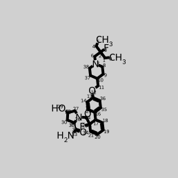 CCC(F)(CC)CN1CCC(COc2ccc(C3C=CC=CC3(F)C(=O)N3C[C@H](O)C[C@@H]3C(N)=O)cc2)CC1